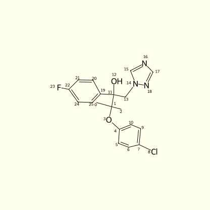 CC(C)(Oc1ccc(Cl)cc1)C(O)(Cn1cncn1)c1ccc(F)cc1